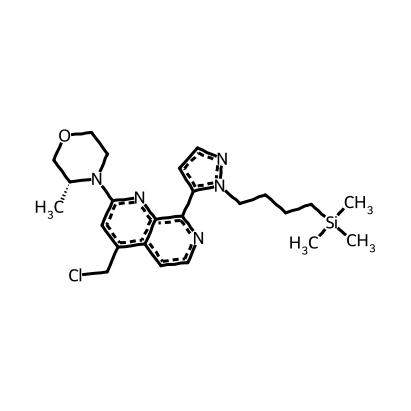 C[C@@H]1COCCN1c1cc(CCl)c2ccnc(-c3ccnn3CCCC[Si](C)(C)C)c2n1